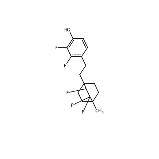 CC12CCC(CCc3ccc(O)c(F)c3F)(CC1)C(F)C2(F)F